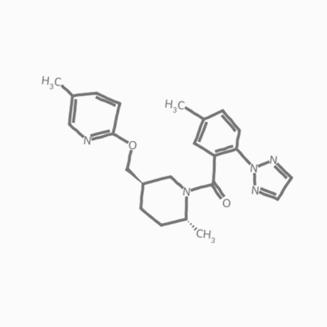 Cc1ccc(OC[C@@H]2CC[C@@H](C)N(C(=O)c3cc(C)ccc3-n3nccn3)C2)nc1